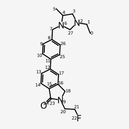 CCN1CC(C)N(Cc2ccc(-c3ccc4c(c3)CN(CCF)C4=O)cc2)C1